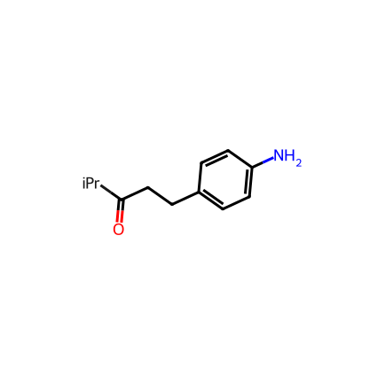 CC(C)C(=O)CCc1ccc(N)cc1